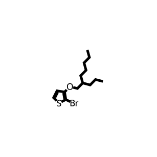 CCCCCC(CCC)COc1ccsc1Br